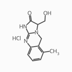 Cc1cccc2c1CN1C(=N2)NC(=O)C1CO.Cl